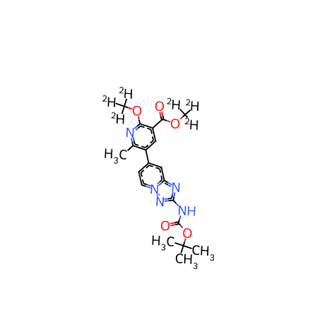 [2H]C([2H])([2H])OC(=O)c1cc(-c2ccn3nc(NC(=O)OC(C)(C)C)nc3c2)c(C)nc1OC([2H])([2H])[2H]